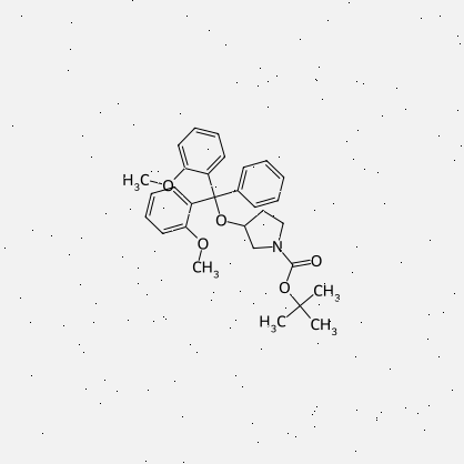 COc1ccccc1C(OC1CCN(C(=O)OC(C)(C)C)C1)(c1ccccc1)c1ccccc1OC